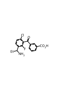 CCC(N)c1ccc(Cl)c(C(=O)c2cccc(C(=O)O)c2)c1F